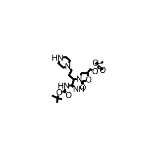 CC(C)(C)OC(=O)NC(=N)C(CCN1CCNCC1)N1CC(COS(C)(=O)=O)OC1=O